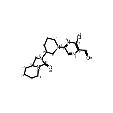 O=Cc1ncc(N2CCCC(N3CC4CCCCN4C3=O)C2)nc1Cl